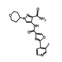 NC(=O)c1nn(C2CCOCC2)cc1NC(=O)c1coc(-c2ccncc2F)n1